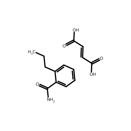 CCCc1ccccc1C(N)=O.O=C(O)/C=C/C(=O)O